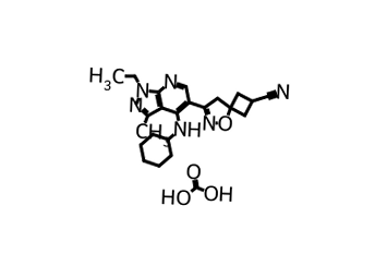 CCn1nc(C)c2c(NC3CCCCC3)c(C3=NOC4(C3)CC(C#N)C4)cnc21.O=C(O)O